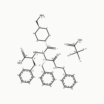 NC[C@H]1CC[C@H](C(=O)N(N[C@@H](Cc2ccccc2)C(=O)O)[C@@H](Cc2ccccc2)C(=O)OCc2ccccc2)CC1.O=C(O)C(F)(F)F